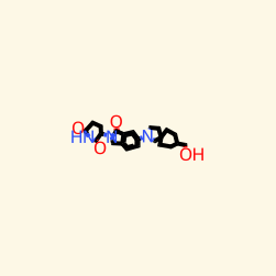 O=C1CCC(N2Cc3ccc(N4CCC5(CCC(CO)CC5)C4)cc3C2=O)C(=O)N1